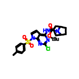 Cc1ccc(S(=O)(=O)n2ccc3c(NC4CC5CCC(C4)N5C(=O)OC(C)(C)C)nc(Cl)nc32)cc1